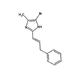 Cc1nc(C=CCc2ccccc2)[nH]c1Br